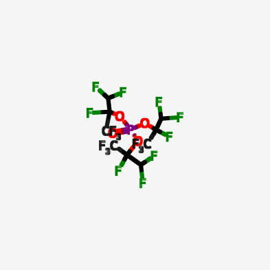 O=P(OC(F)(C(F)F)C(F)(F)F)(OC(F)(C(F)F)C(F)(F)F)OC(F)(C(F)F)C(F)(F)F